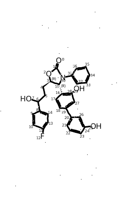 O=C1O[C@H](CCC(O)c2ccc(F)cc2)[C@@H](c2ccc(-c3cccc(O)c3)cc2O)N1c1ccccc1